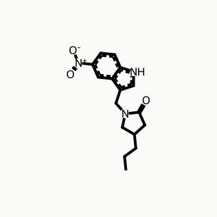 CCCC1CC(=O)N(Cc2c[nH]c3ccc([N+](=O)[O-])cc23)C1